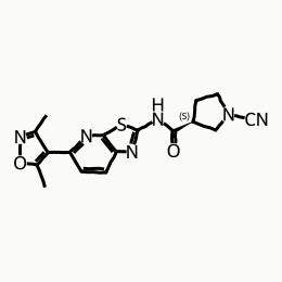 Cc1noc(C)c1-c1ccc2nc(NC(=O)[C@H]3CCN(C#N)C3)sc2n1